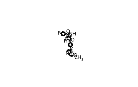 COc1ccc2nccc(Oc3ccc(NC(=O)c4c[nH]c(=O)n(-c5ccc(F)cc5)c4=O)cc3)c2n1